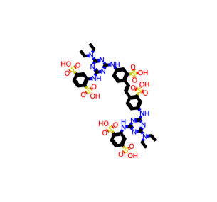 CCN(CC)c1nc(Nc2ccc(C=Cc3ccc(Nc4nc(Nc5cc(S(=O)(=O)O)ccc5S(=O)(=O)O)nc(N(CC)CC)n4)cc3S(=O)(=O)O)c(S(=O)(=O)O)c2)nc(Nc2cc(S(=O)(=O)O)ccc2S(=O)(=O)O)n1